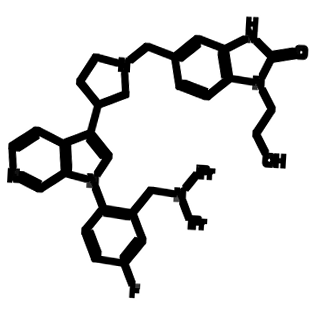 CC(C)N(Cc1cc(F)ccc1-n1cc(C2CCN(Cc3ccc4c(c3)[nH]c(=O)n4CCO)C2)c2ccncc21)C(C)C